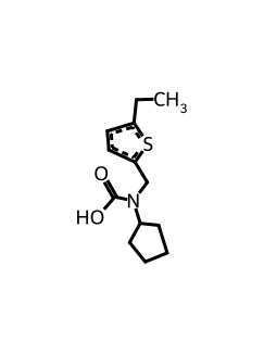 CCc1ccc(CN(C(=O)O)C2CCCC2)s1